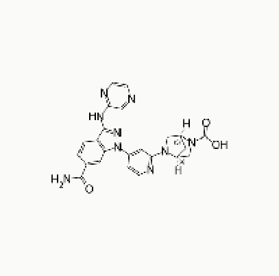 NC(=O)c1ccc2c(Nc3cnccn3)nn(-c3ccnc(N4C[C@@H]5C[C@H]4CN5C(=O)O)c3)c2c1